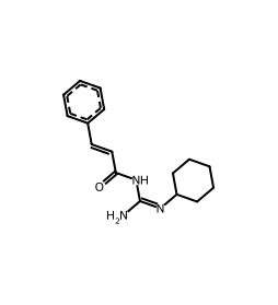 NC(=NC1CCCCC1)NC(=O)C=Cc1ccccc1